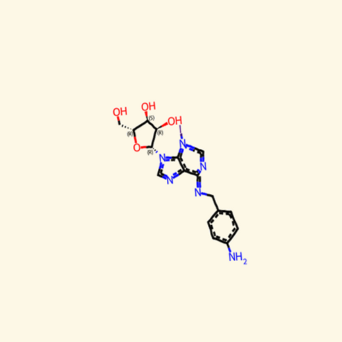 Nc1ccc(CN=c2ncn(I)c3c2ncn3[C@@H]2O[C@H](CO)[C@@H](O)[C@H]2O)cc1